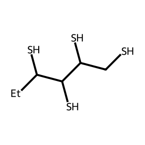 CCC(S)C(S)C(S)CS